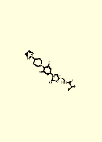 O=C(NC[C@H]1CN(c2cc(F)c(N3CCC(n4nccn4)CC3)c(F)c2)C(=O)O1)C(F)F